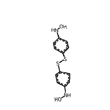 ONc1ccc(SSc2ccc(NO)cc2)cc1